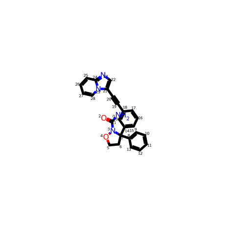 NC(=O)N1OCCC1(c1ccccc1)c1cccc(C#Cc2cnc3ccccn23)c1